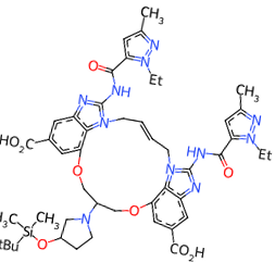 CCn1nc(C)cc1C(=O)Nc1nc2cc(C(=O)O)cc3c2n1C/C=C/Cn1c(NC(=O)c2cc(C)nn2CC)nc2cc(C(=O)O)cc(c21)OCC(N1CCC(O[Si](C)(C)C(C)(C)C)C1)CO3